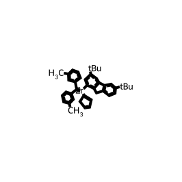 Cc1cccc([C](c2cccc(C)c2)=[Zr]([C]2=CC=CC2)[c]2cc(C(C)(C)C)cc3c2Cc2ccc(C(C)(C)C)cc2-3)c1